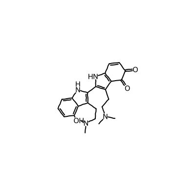 CN(C)CCc1c(-c2[nH]c3cccc(O)c3c2CCN(C)C)[nH]c2c1C(=O)C(=O)C=C2